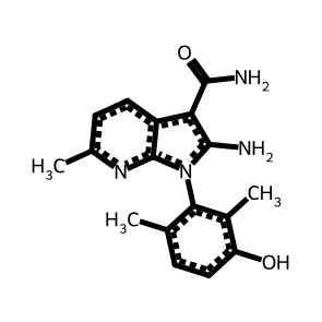 Cc1ccc2c(C(N)=O)c(N)n(-c3c(C)ccc(O)c3C)c2n1